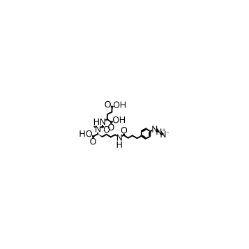 CN(C(=O)NC(CCC(=O)O)C(=O)O)[C@@H](CCCCNC(=O)CCCc1ccc(N=[N+]=[N-])cc1)C(=O)O